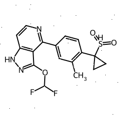 Cc1cc(-c2nccc3[nH]nc(OC(F)F)c23)ccc1C1([SH](=O)=O)CC1